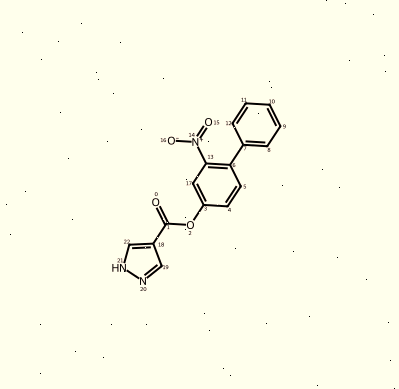 O=C(Oc1ccc(-c2ccccc2)c([N+](=O)[O-])c1)c1cn[nH]c1